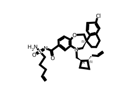 C=CCCCS(N)(=O)=NC(=O)c1ccc2c(c1)N(C[C@@H]1CC[C@H]1CC=C)C[C@@]1(CCCc3cc(Cl)ccc31)CO2